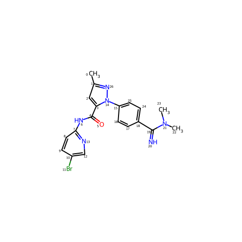 Cc1cc(C(=O)Nc2ccc(Br)cn2)n(-c2ccc(C(=N)N(C)C)cc2)n1